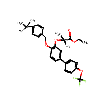 CCOC(=O)C(C)(C)Oc1cc(-c2ccc(OC(F)(F)F)cc2)ccc1OCc1ccc(C(C)(C)C)cc1